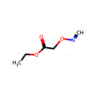 [CH]=NOCC(=O)OCC